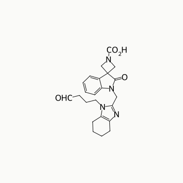 O=CCCCn1c(CN2C(=O)C3(CN(C(=O)O)C3)c3ccccc32)nc2c1CCCC2